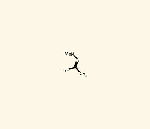 CNN=C(C)C